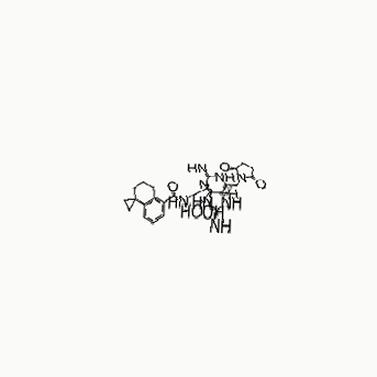 N=C1N[C@H]2[C@H](CN3C(=O)CCC3=O)NC(=N)N3CC(NC(=O)c4cccc5c4CCCC54CC4)C(O)(O)C23N1